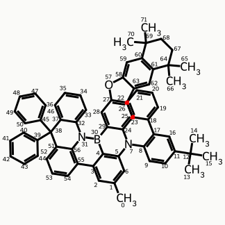 Cc1cc2c3c(c1)N(c1ccc(C(C)(C)C)cc1-c1ccccc1)c1cc4c(cc1B3N1c3ccccc3C(c3ccccc3)(c3ccccc3)c3cccc-2c31)oc1cc2c(cc14)C(C)(C)CCC2(C)C